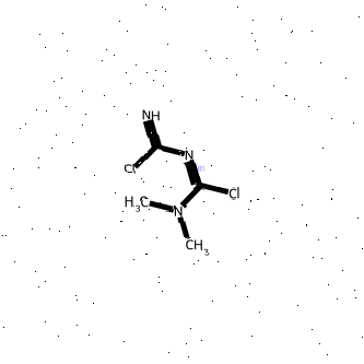 CN(C)/C(Cl)=N\C(=N)Cl